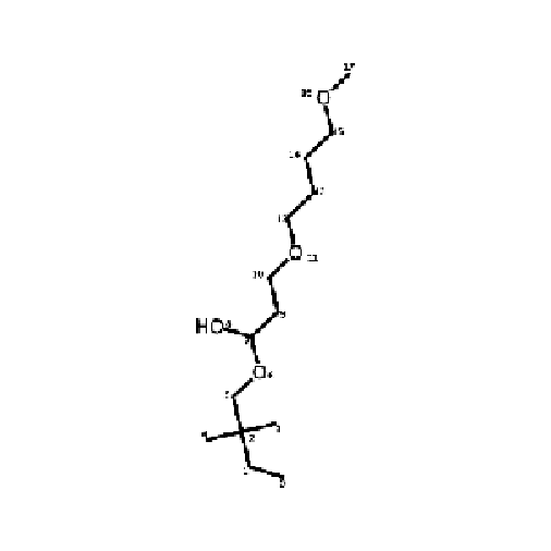 CCC(C)(C)COC(O)CCOCCCCOC